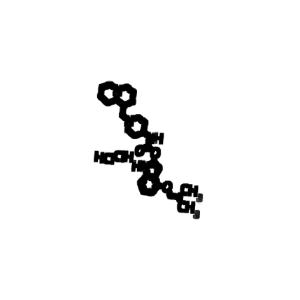 CC(C)COc1cccc2[nH]c(OC(=O)NC3CCN(CC4CCCN5CCCCC45)CC3)cc12.Cl.Cl